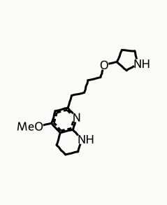 COc1cc(CCCCOC2CCNC2)nc2c1CCCN2